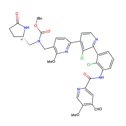 COc1cnc(C(=O)Nc2cccc(-c3nccc(-c4ccc(CN(C[C@@H]5CCC(=O)N5)C(=O)OC(C)(C)C)c(OC)n4)c3Cl)c2Cl)cc1C=O